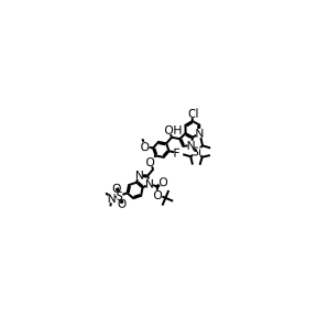 COc1cc(C(O)c2cn([Si](C(C)C)(C(C)C)C(C)C)c3ncc(Cl)cc23)c(F)cc1OCc1nc2cc(S(=O)(=O)N(C)C)ccc2n1C(=O)OC(C)(C)C